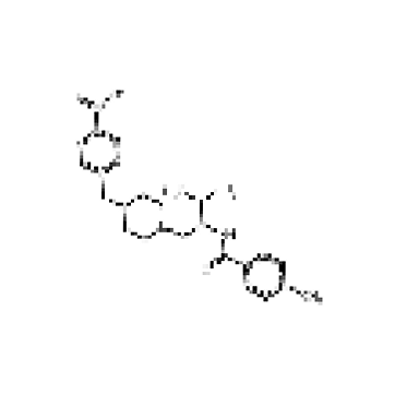 Cc1ccc(C(=O)N[C@@H](CN2CCN(Cc3ccc([N+](=O)[O-])cc3)CC2)C(C)C)cc1